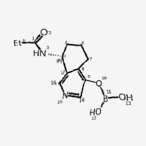 CCC(=O)N[C@@H]1CCCc2c(OB(O)O)cncc21